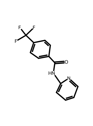 O=C(Nc1ccccn1)c1ccc(C(F)(F)F)cc1